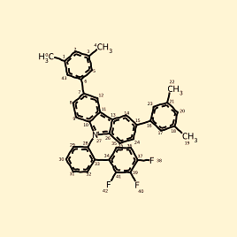 Cc1cc(C)cc(-c2ccc3c(c2)c2cc(-c4cc(C)cc(C)c4)ccc2n3-c2ccccc2-c2ccc(F)c(F)c2F)c1